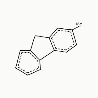 [18F]c1ccc2c(c1)Cc1ccccc1-2